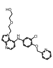 OCCOCCn1ccc2nccc(Nc3ccc(OCc4ccccn4)c(Cl)c3)c21